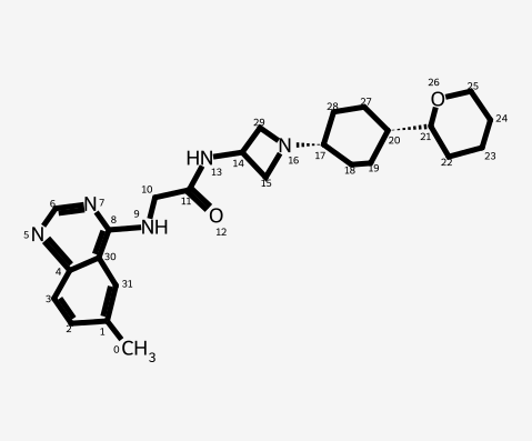 Cc1ccc2ncnc(NCC(=O)NC3CN([C@H]4CC[C@@H](C5CCCCO5)CC4)C3)c2c1